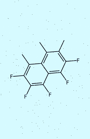 Cc1c(F)c(F)c2c(F)c(F)c(F)c(C)c2c1C